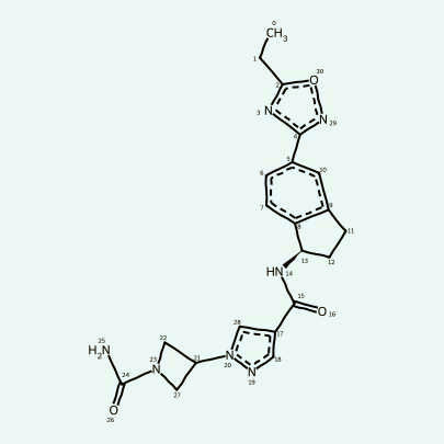 CCc1nc(-c2ccc3c(c2)CC[C@H]3NC(=O)c2cnn(C3CN(C(N)=O)C3)c2)no1